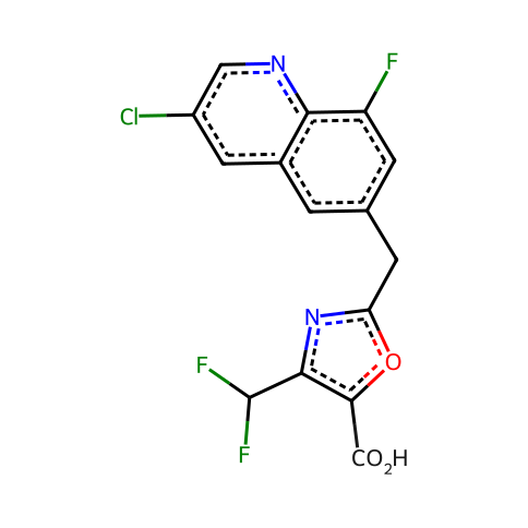 O=C(O)c1oc(Cc2cc(F)c3ncc(Cl)cc3c2)nc1C(F)F